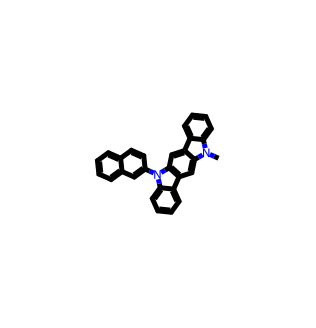 Cn1c2ccccc2c2cc3c(cc21)c1ccccc1n3-c1ccc2ccccc2c1